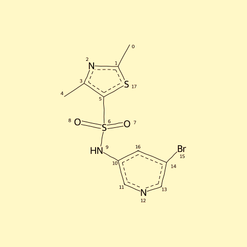 Cc1nc(C)c(S(=O)(=O)Nc2cncc(Br)c2)s1